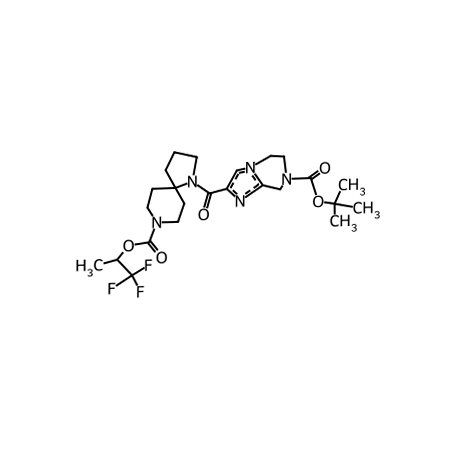 CC(OC(=O)N1CCC2(CCCN2C(=O)c2cn3c(n2)CN(C(=O)OC(C)(C)C)CC3)CC1)C(F)(F)F